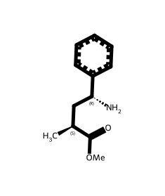 COC(=O)[C@@H](C)C[C@@H](N)c1ccccc1